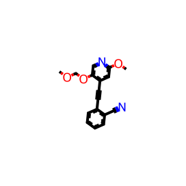 COCOc1cnc(OC)cc1C#Cc1ccccc1C#N